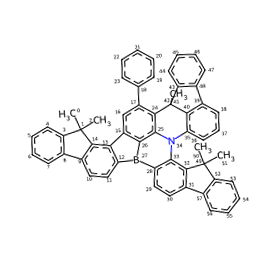 CC1(C)c2ccccc2-c2ccc3c(c21)-c1cc(-c2ccccc2)c2c4c1B3c1ccc3c(c1N4c1cccc4c1C2(C)c1ccccc1-4)C(C)(C)c1ccccc1-3